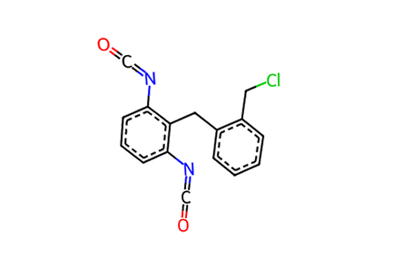 O=C=Nc1cccc(N=C=O)c1Cc1ccccc1CCl